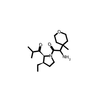 CC[C@@H]1CCN(C(=O)C(N)C2(C)CCOCC2)[C@@H]1C(=O)C(C)C